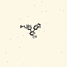 N#Cc1ccc(/C(C=N)=C/NCCC2CC2)c(-c2ccn3ccnc3c2)n1